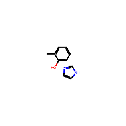 Cc1ccccc1O.c1c[nH]cn1